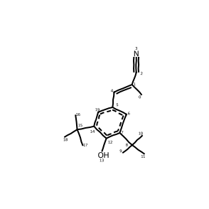 C/C(C#N)=C\c1cc(C(C)(C)C)c(O)c(C(C)(C)C)c1